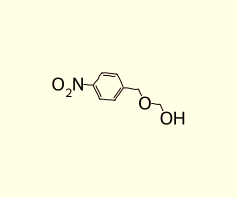 O=[N+]([O-])c1ccc(COCO)cc1